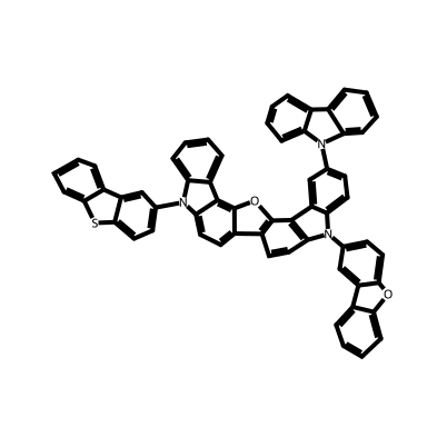 c1ccc2c(c1)oc1ccc(-n3c4ccc(-n5c6ccccc6c6ccccc65)cc4c4c5oc6c(ccc7c6c6ccccc6n7-c6ccc7sc8ccccc8c7c6)c5ccc43)cc12